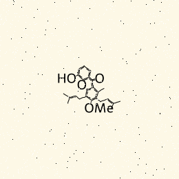 COc1c(CC=C(C)C)c(C)c2c(=O)c3cccc(O)c3oc2c1CC=C(C)C